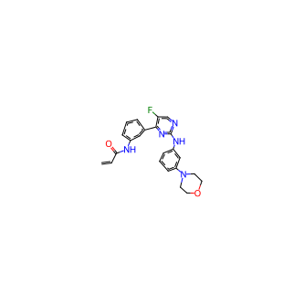 C=CC(=O)Nc1cccc(-c2nc(Nc3cccc(N4CCOCC4)c3)ncc2F)c1